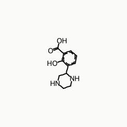 O=C(O)c1cccc(C2CNCCN2)c1O